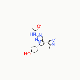 COC[C@H](C)Nc1ncc2c(-c3cn(C)nc3C)cc([C@H]3CC[C@H](O)CC3)n2n1